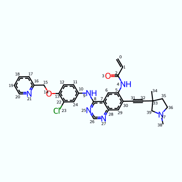 C=CC(=O)Nc1cc2c(Nc3ccc(OCc4ccccn4)c(Cl)c3)ncnc2cc1C#CC1(C)CCN(C)C1